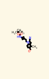 Cc1c(C=O)ccc2c1cc(C#N)n2CCC12CC(NC(=O)OC(C)(C)C)(C1)C2